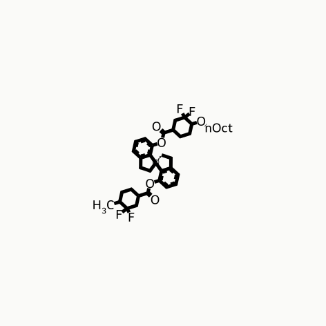 CCCCCCCCOC1CCC(C(=O)Oc2cccc3c2[C@]2(CCc4cccc(OC(=O)C5CCC(C)C(F)(F)C5)c42)CC3)CC1(F)F